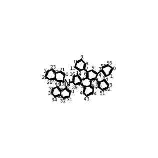 c1ccc(-c2cc(-c3ccccc3)c3c4ccc(N(c5ccc6ccccc6c5)c5cccc6ccccc56)cc4c4ccccc4c3c2-c2ccccc2)cc1